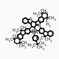 CC(C)(C)c1ccc(Nc2cc3c(cc2-c2c4c5c(c6cc7c(cc6n5-c5cc6c(cc5B4)C(C)(C)c4ccccc4-6)C(C)(C)CCC7(C)C)c4sc5ccccc5c24)C(C)(C)c2cc4c(cc2-3)C(C)(C)CCC4(C)C)cc1